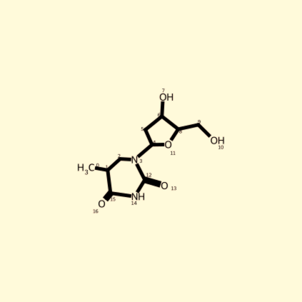 CC1CN(C2CC(O)C(CO)O2)C(=O)NC1=O